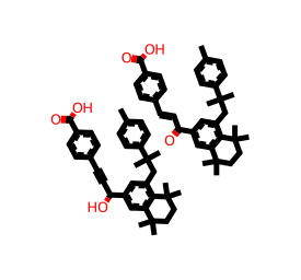 Cc1ccc(C(C)(C)Cc2cc(C(=O)C=Cc3ccc(C(=O)O)cc3)cc3c2C(C)(C)CCC3(C)C)cc1.Cc1ccc(C(C)(C)Cc2cc(C(O)C#Cc3ccc(C(=O)O)cc3)cc3c2C(C)(C)CCC3(C)C)cc1